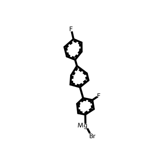 Fc1ccc(-c2ccc(-c3cc[c]([Mg][Br])cc3F)cc2)cc1